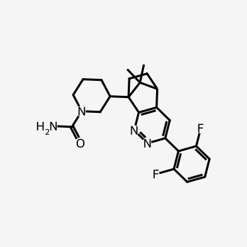 CC1(C)C2CCC1(C1CCCN(C(N)=O)C1)c1nnc(-c3c(F)cccc3F)cc12